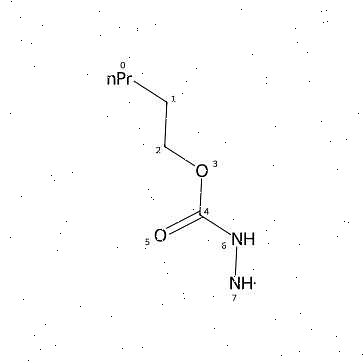 CCCCCOC(=O)N[NH]